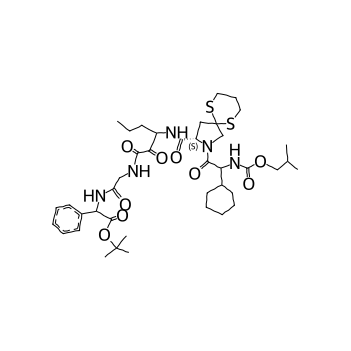 CCCC(NC(=O)[C@@H]1CC2(CN1C(=O)C(NC(=O)OCC(C)C)C1CCCCC1)SCCCS2)C(=O)C(=O)NCC(=O)NC(C(=O)OC(C)(C)C)c1ccccc1